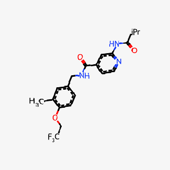 Cc1cc(CNC(=O)c2ccnc(NC(=O)C(C)C)c2)ccc1OCC(F)(F)F